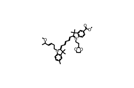 COC(=O)c1ccc2c(c1)C(C)(C)C(/C=C/C=C/C=C1/N(CC/C=C/C(C)OC)c3ccc(C)cc3C1(C)C)=[N+]2CCC1OCCO1